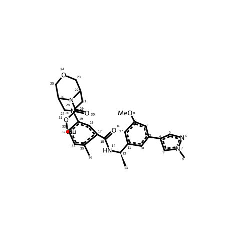 COc1cc(-c2cnn(C)c2)cc([C@@H](C)NC(=O)c2cc(N3CC4COCC(C3)N4C(=O)OC(C)(C)C)ccc2C)c1